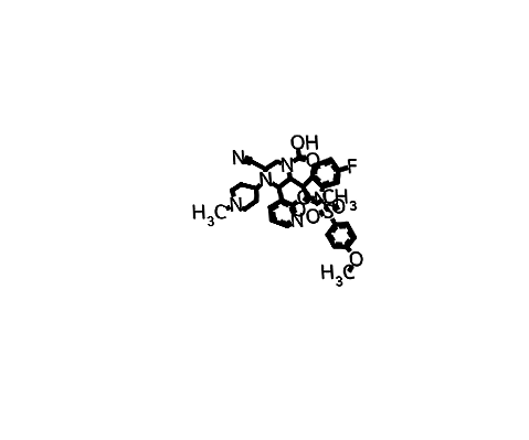 CCOc1ncccc1C1C(C2C(=O)N(S(=O)(=O)c3ccc(OC)cc3)c3cc(F)ccc32)N(C(=O)O)CC(C#N)N1C1CCN(C)CC1